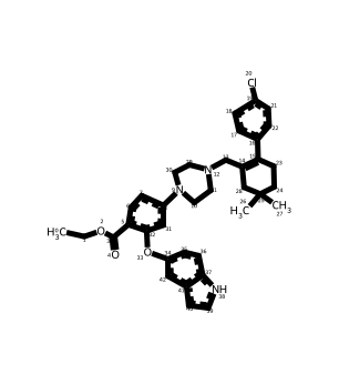 CCOC(=O)c1ccc(N2CCN(CC3=C(c4ccc(Cl)cc4)CCC(C)(C)C3)CC2)cc1Oc1ccc2[nH]ccc2c1